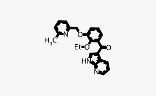 CCOc1c(OCc2cccc(C)n2)cccc1C(=O)c1c[nH]c2ncccc12